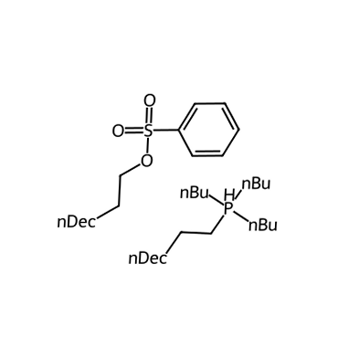 CCCCCCCCCCCCOS(=O)(=O)c1ccccc1.CCCCCCCCCCCC[PH](CCCC)(CCCC)CCCC